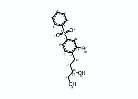 O=S(=O)(c1ccccc1)c1ccc(CC[C@H](O)CO)c(Br)c1